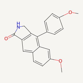 COc1ccc(-c2c3c(cc4ccc(OC)cc24)C(=O)NC3)cc1